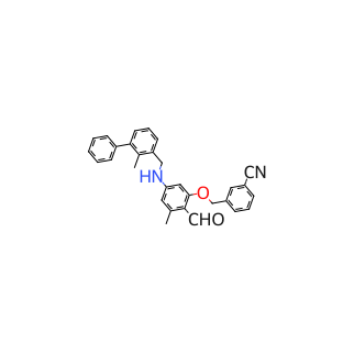 Cc1cc(NCc2cccc(-c3ccccc3)c2C)cc(OCc2cccc(C#N)c2)c1C=O